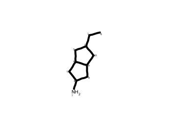 CCC1CC2CC(N)CC2C1